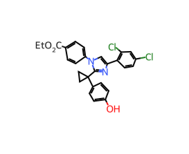 CCOC(=O)c1ccc(-n2cc(-c3ccc(Cl)cc3Cl)nc2C2(c3ccc(O)cc3)CC2)cc1